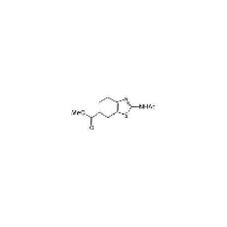 COC(=O)C1CCc2nc(NC(C)=O)sc2C1